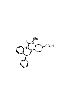 CC(C)(C)OC(=O)NN(CC(c1ccccc1)c1ccccc1)C1CCC(C(=O)O)CC1